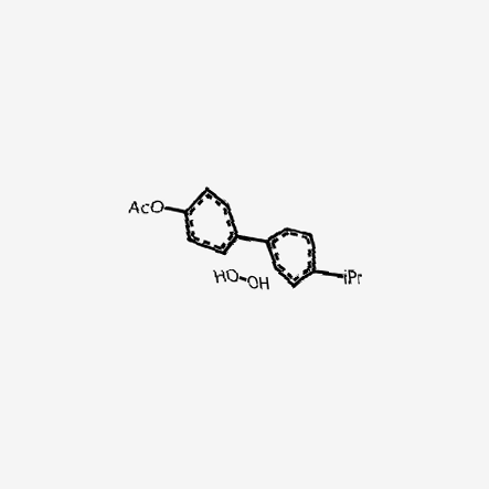 CC(=O)Oc1ccc(-c2ccc(C(C)C)cc2)cc1.OO